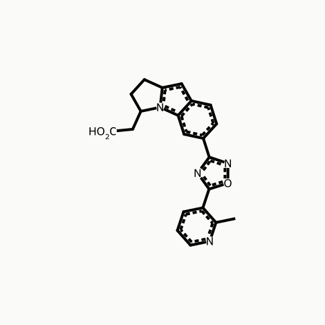 Cc1ncccc1-c1nc(-c2ccc3cc4n(c3c2)C(CC(=O)O)CC4)no1